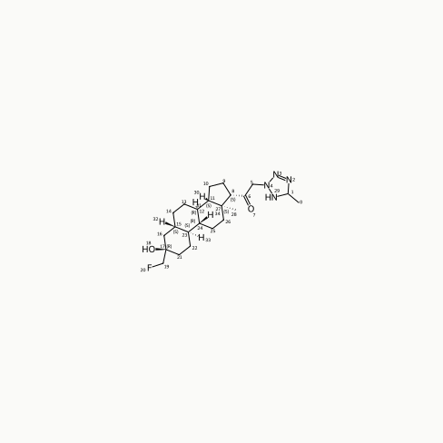 CC1N=NN(CC(=O)[C@H]2CC[C@H]3[C@@H]4CC[C@H]5C[C@@](O)(CF)CC[C@@H]5[C@H]4CC[C@]23C)N1